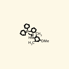 COc1cc(C)c(NC(=O)C[PH](c2ccccc2)(c2ccccc2)c2ccccc2)c(C)c1